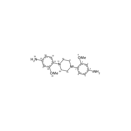 COc1cc(N)ccc1N1CCN(c2ccc(N)cc2OC)CC1